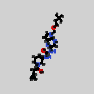 C[Si](C)(C)CCOCn1ccc2nc(NC(=O)NC3CCCN(C(=O)CC4CC4)C3)cnc21